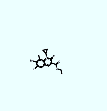 CCOC(=O)c1cc2cc(F)c(Br)c(C)c2n(C2CC2)c1=O